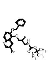 CC(C)(C)OC(=O)NCC(F)COc1c(OCc2ccccc2)ccc2ncc(Br)cc12